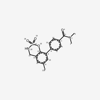 CN(C)C(=O)c1ccc(-c2cc(F)cc3c2OS(=O)(=O)NC3)cc1